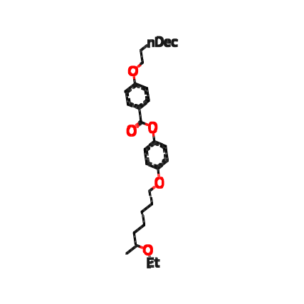 CCCCCCCCCCCCOc1ccc(C(=O)Oc2ccc(OCCCCCC(C)OCC)cc2)cc1